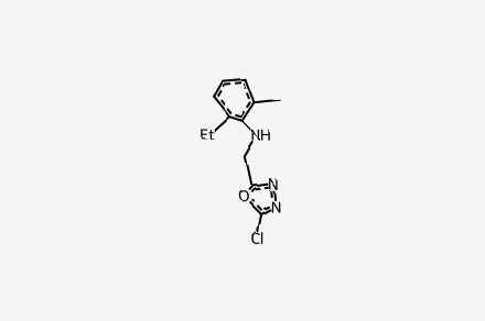 CCc1cccc(C)c1NCc1nnc(Cl)o1